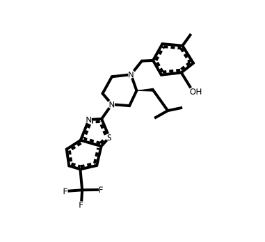 Cc1cc(O)cc(CN2CCN(c3nc4ccc(C(F)(F)F)cc4s3)C[C@@H]2CC(C)C)c1